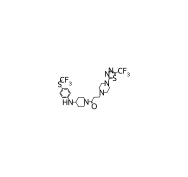 O=C(CCN1CCN(c2nnc(C(F)(F)F)s2)CC1)N1CCC(Nc2ccc(SC(F)(F)F)cc2)CC1